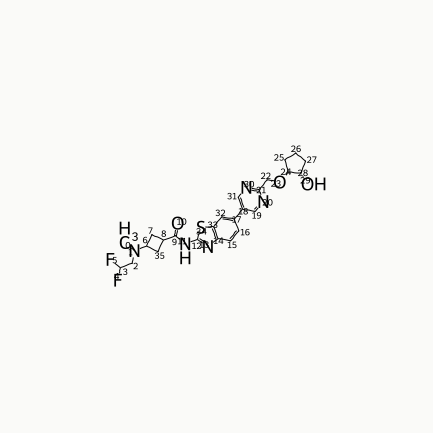 CN(CC(F)F)C1CC(C(=O)Nc2nc3ccc(-c4cnc(CO[C@H]5CCC[C@@H]5O)nc4)cc3s2)C1